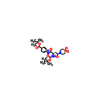 CC(C)(C)OC(=O)N[C@@H](CC(=O)N1CCS(=O)(=O)CC1)C(=O)Nc1ccc(C(=O)OC(C)(C)C)cc1